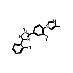 COc1cc(-c2nc(-c3ccccc3Cl)nn2C)ccc1-n1cnc(C)c1